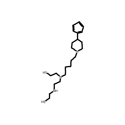 SCCNCCN(CCS)CCCCCN1CCC(c2ccccc2)CC1